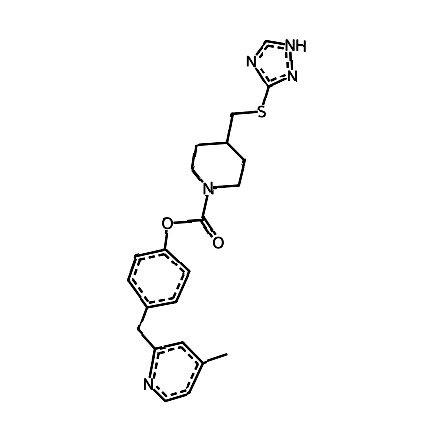 Cc1ccnc(Cc2ccc(OC(=O)N3CCC(CSc4nc[nH]n4)CC3)cc2)c1